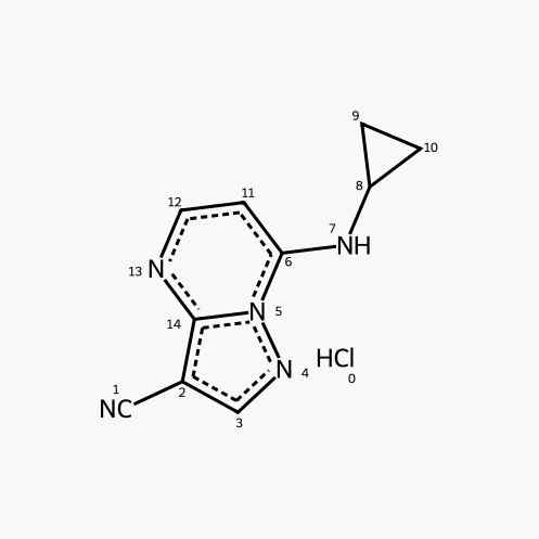 Cl.N#Cc1cnn2c(NC3CC3)ccnc12